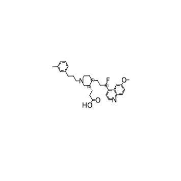 COc1ccc2nccc([C@H](F)CC[C@@H]3CCN(CCCc4cccc(C)c4)C[C@H]3CCC(=O)O)c2c1